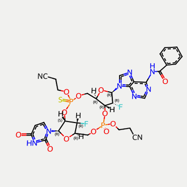 N#CCCOP1(=O)OC[C@H]2O[C@@H](n3ccc(=O)[nH]c3=O)[C@H](OP(=S)(OCCC#N)OC[C@H]3O[C@@H](n4cnc5c(NC(=O)c6ccccc6)ncnc54)[C@H](F)[C@@H]3O1)[C@@H]2F